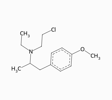 CCN(CCCl)C(C)Cc1ccc(OC)cc1